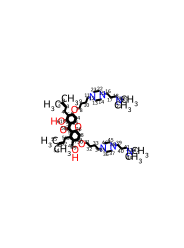 CC(C)=CCc1c(OCCCCN2CCN(CCCN(C)C)CC2)cc2oc3cc(OCCCCN4CCN(CCCN(C)C)CC4)c(CO)c(CC=C(C)C)c3c(=O)c2c1O